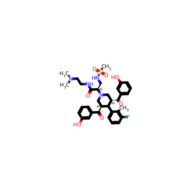 Cc1c(F)cccc1C1[C@@H](C(=O)c2cccc(O)c2)CN([C@H](CNS(C)(=O)=O)C(=O)NCCN(C)C)C[C@@H]1C(=O)c1cccc(O)c1